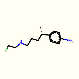 C[C@@H](CCCNCCF)c1ccc(N)cc1